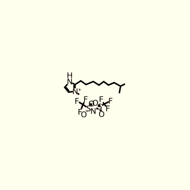 CC(C)CCCCCCCc1[nH]cc[n+]1C.O=S(=O)([N-]S(=O)(=O)C(F)(F)F)C(F)(F)F